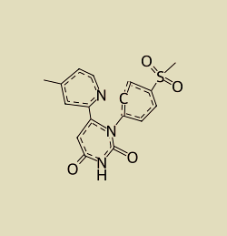 Cc1ccnc(-c2cc(=O)[nH]c(=O)n2-c2ccc(S(C)(=O)=O)cc2)c1